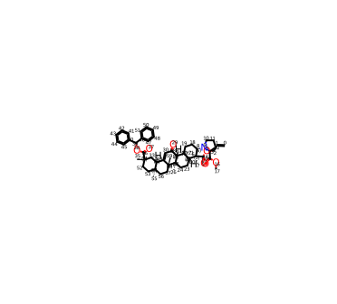 C=CCOC(=O)[C@]1(C)[C@@H](N2CCCC2C(=O)OC)CC[C@@]2(C)[C@H]1CC[C@]1(C)[C@@H]2C(=O)C=C2[C@@H]3C[C@@](C)(C(=O)OC(c4ccccc4)c4ccccc4)CC[C@]3(C)CC[C@]21C